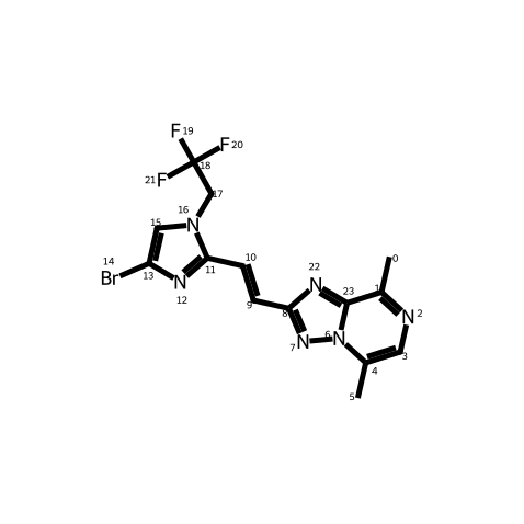 Cc1ncc(C)n2nc(C=Cc3nc(Br)cn3CC(F)(F)F)nc12